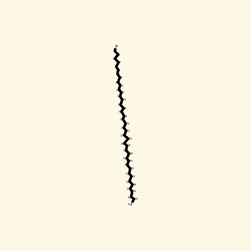 ICCCCCCCCCCCCCCCCCCCCCCCCCCCCCCCCCCCCCCCCI